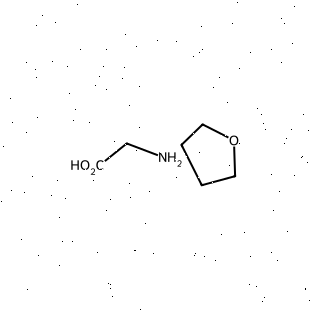 C1CCOC1.NCC(=O)O